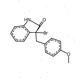 COc1ccc(CC2(Br)C(=O)Nc3ccccc32)cc1